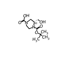 CC(C)(C)OC(=O)N1CCN(C(=O)O)C[C@@H]1CO